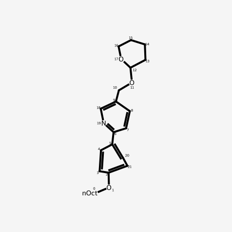 CCCCCCCCOc1ccc(-c2ccc(COC3CCCCO3)cn2)cc1